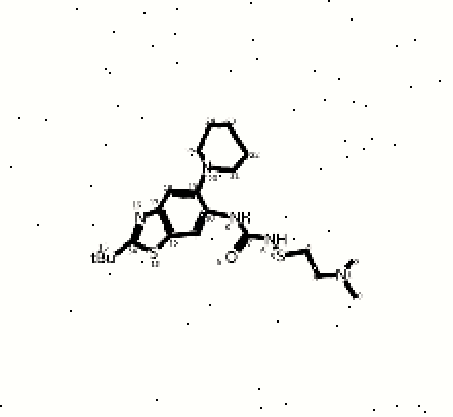 CN(C)CCSNC(=O)Nc1cc2sc(C(C)(C)C)nc2cc1N1CCCCC1